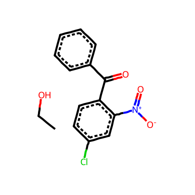 CCO.O=C(c1ccccc1)c1ccc(Cl)cc1[N+](=O)[O-]